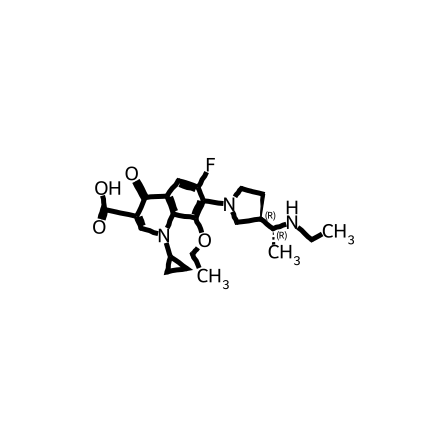 CCN[C@H](C)[C@@H]1CCN(c2c(F)cc3c(=O)c(C(=O)O)cn(C4CC4)c3c2OCC)C1